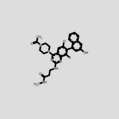 CNC(=O)CCNc1nc(N2CCN(C(C)=O)CC2)c2cc(Cl)c(-c3cc(O)cc4ccccc34)c(F)c2n1